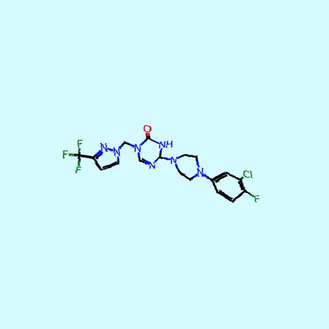 O=C1NC(N2CCN(c3ccc(F)c(Cl)c3)CC2)N=CN1Cn1ccc(C(F)(F)F)n1